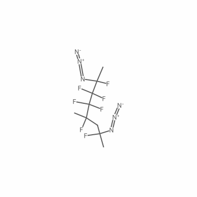 CC(F)(CC(C)(F)C(F)(F)C(F)(F)C(C)(F)N=[N+]=[N-])N=[N+]=[N-]